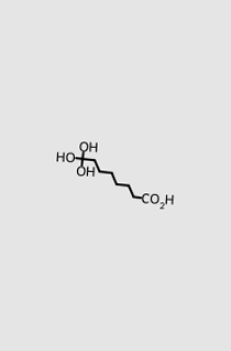 O=C(O)CCCCCCC(O)(O)O